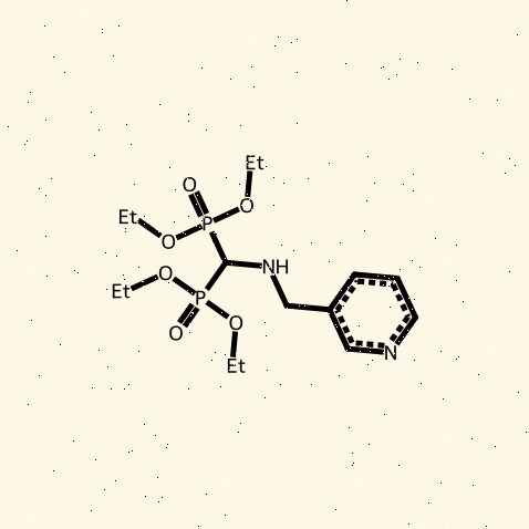 CCOP(=O)(OCC)C(NCc1cccnc1)P(=O)(OCC)OCC